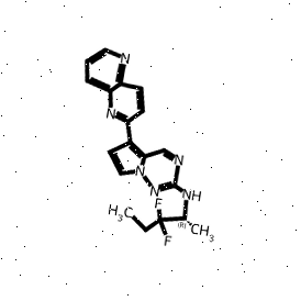 CCC(F)(F)[C@@H](C)Nc1ncc2c(-c3ccc4ncccc4n3)ccn2n1